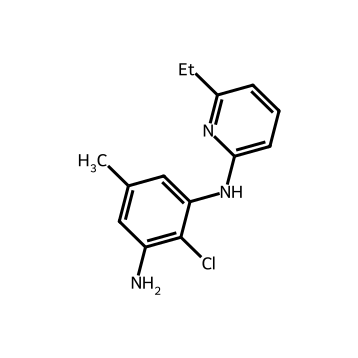 CCc1cccc(Nc2cc(C)cc(N)c2Cl)n1